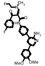 COc1ccc(-c2cnc(N)c(-c3ccc(NC(=O)/C(=C/N(C)CCF)C(=O)c4ccc(F)cc4)cc3)c2)cc1OC